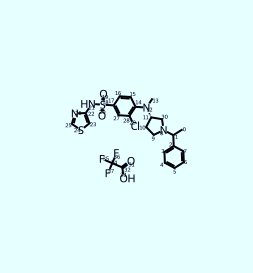 CC(c1ccccc1)N1CC[C@H](N(C)c2ccc(S(=O)(=O)Nc3cscn3)cc2Cl)C1.O=C(O)C(F)(F)F